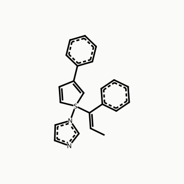 CC=C(c1ccccc1)S1(n2ccnc2)C=CC(c2ccccc2)=C1